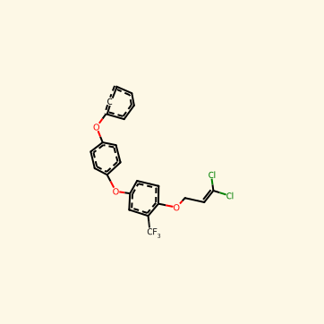 FC(F)(F)c1cc(Oc2ccc(Oc3ccccc3)cc2)ccc1OCC=C(Cl)Cl